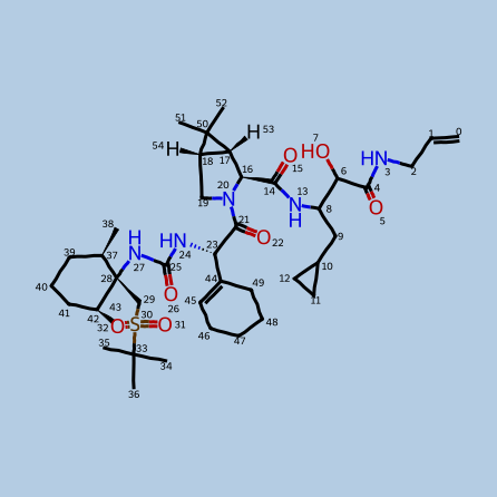 C=CCNC(=O)C(O)C(CC1CC1)NC(=O)[C@@H]1[C@@H]2[C@H](CN1C(=O)[C@@H](NC(=O)N[C@@]1(CS(=O)(=O)C(C)(C)C)[C@H](C)CCC[C@@H]1C)C1=CCCCC1)C2(C)C